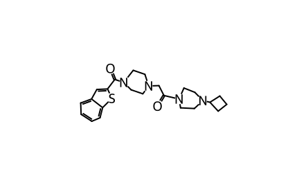 O=C(CN1CCN(C(=O)c2cc3ccccc3s2)CC1)N1CCN(C2CCC2)CC1